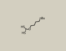 CCCCCCCCOP(S)S